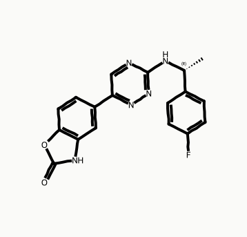 C[C@@H](Nc1ncc(-c2ccc3oc(=O)[nH]c3c2)nn1)c1ccc(F)cc1